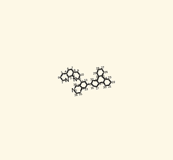 c1cnc2c(c1)ccc1ccc(-c3cc(-c4ccc5c6ccccc6c6ccccc6c5c4)cc4ccncc34)nc12